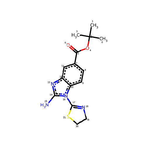 CC(C)(C)OC(=O)c1ccc2c(c1)nc(N)n2C1=NCCS1